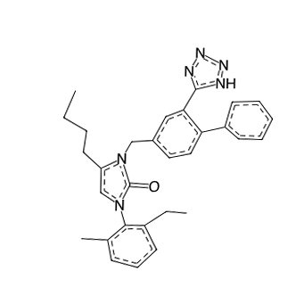 CCCCc1cn(-c2c(C)cccc2CC)c(=O)n1Cc1ccc(-c2ccccc2)c(-c2nnn[nH]2)c1